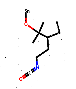 CCC(CCN=C=O)C(C)(C)[O][Sn]